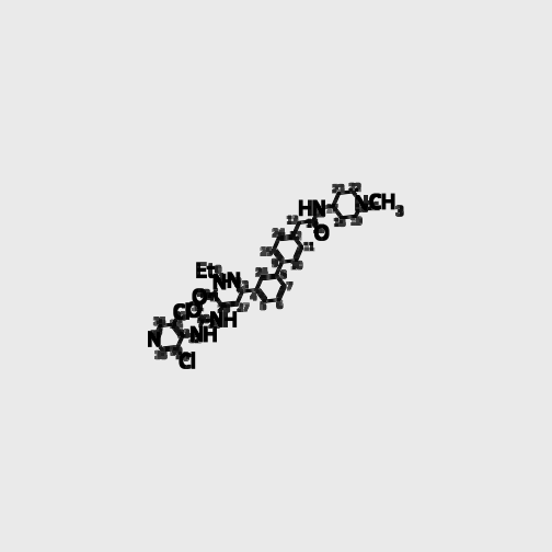 CCn1nc(-c2cccc(-c3ccc(CC(=O)NC4CCN(C)CC4)cc3)c2)cc(NC(=O)Nc2c(Cl)cncc2Cl)c1=O